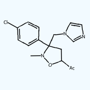 CC(=O)C1CC(Cn2ccnc2)(c2ccc(Cl)cc2)N(C)O1